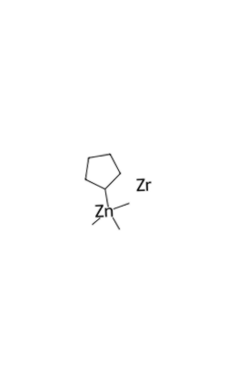 [CH3][Zn]([CH3])([CH3])[CH]1CCCC1.[Zr]